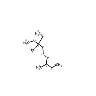 CCC(C)OSCC(C)(CC)SC